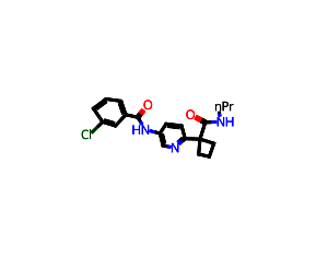 CCCNC(=O)C1(c2ccc(NC(=O)c3cccc(Cl)c3)cn2)CCC1